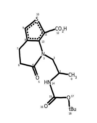 CC(CN1C(=O)CCc2csc(C(=O)O)c21)NC(=O)OC(C)(C)C